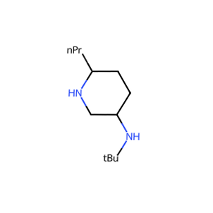 CCCC1CCC(NC(C)(C)C)CN1